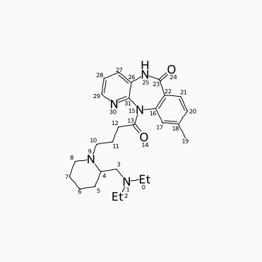 CCN(CC)CC1CCCCN1CCCC(=O)N1c2cc(C)ccc2C(=O)Nc2cccnc21